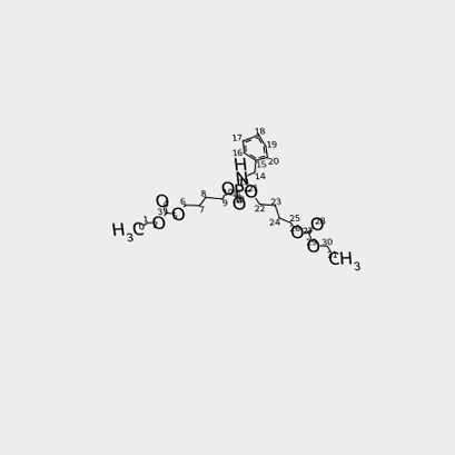 CCOC(=O)OCCCCOP(=O)(NCc1ccccc1)OCCCCOC(=O)OCC